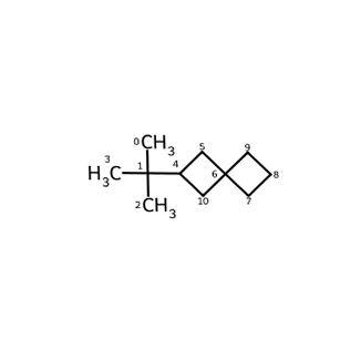 CC(C)(C)C1CC2(CCC2)C1